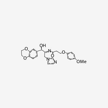 COc1ccc(OCCC(=O)/N=C(\Cn2ccnc2)[C@H](O)c2ccc3c(c2)OCCO3)cc1